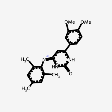 COc1ccc(-c2c/c(=N/c3c(C)cc(C)cc3C)[nH]c(=O)[nH]2)cc1OC